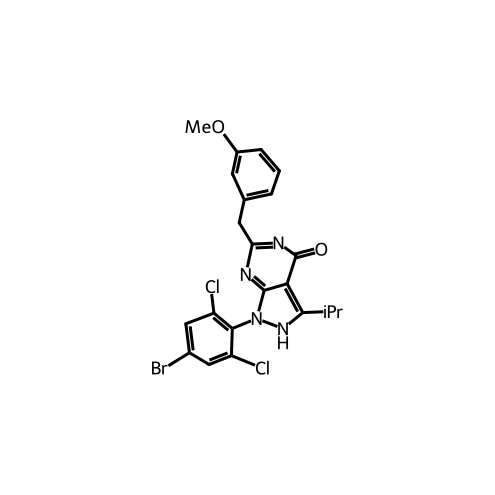 COc1cccc(Cc2nc3n(-c4c(Cl)cc(Br)cc4Cl)[nH]c(C(C)C)c-3c(=O)n2)c1